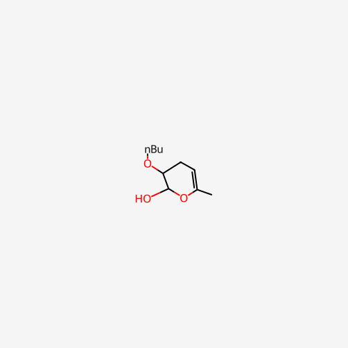 CCCCOC1CC=C(C)OC1O